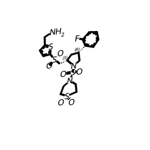 NCc1ccc(S(=O)(=O)C[C@@H]2C[C@H](c3ccccc3F)CN2S(=O)(=O)N2CCS(=O)(=O)CC2)s1